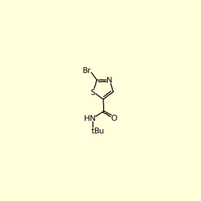 CC(C)(C)NC(=O)c1cnc(Br)s1